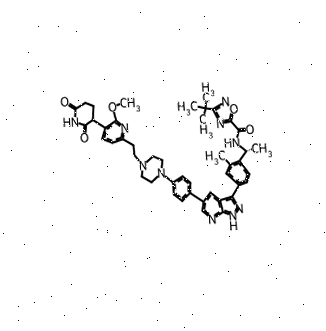 COc1nc(CCN2CCN(c3ccc(-c4cnc5[nH]nc(-c6ccc([C@@H](C)NC(=O)c7nc(C(C)(C)C)no7)c(C)c6)c5c4)cc3)CC2)ccc1C1CCC(=O)NC1=O